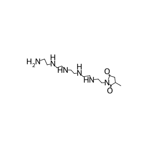 CC1CC(=O)N(CCNCCNCCNCCNCCN)C1=O